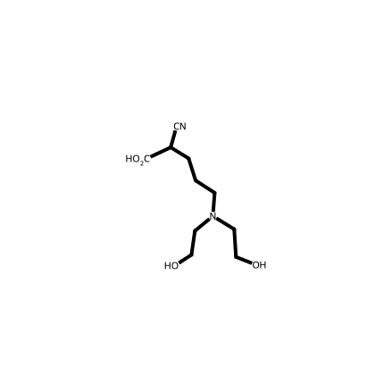 N#CC(CCCN(CCO)CCO)C(=O)O